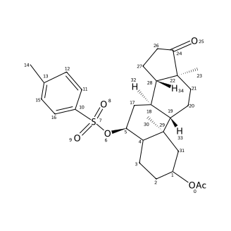 CC(=O)OC1CCC2[C@@H](OS(=O)(=O)c3ccc(C)cc3)C[C@@H]3[C@H](CC[C@]4(C)C(=O)CC[C@@H]34)[C@@]2(C)C1